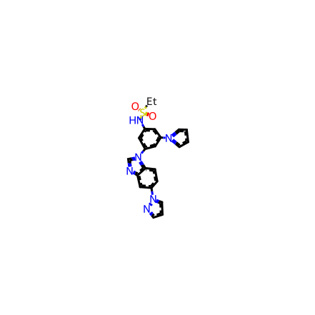 CCS(=O)(=O)Nc1cc(-n2cccc2)cc(-n2cnc3cc(-n4cccn4)ccc32)c1